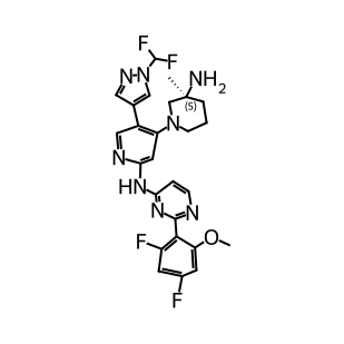 COc1cc(F)cc(F)c1-c1nccc(Nc2cc(N3CCC[C@](C)(N)C3)c(-c3cnn(C(F)F)c3)cn2)n1